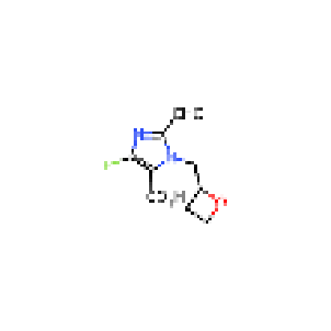 O=Cc1nc(F)c(C(=O)O)n1CC1CCO1